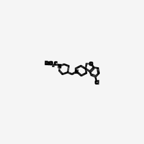 CCOC(=O)N1CCC(CN2CCC3(CC2)COc2ccc(Cl)cc23)CC1